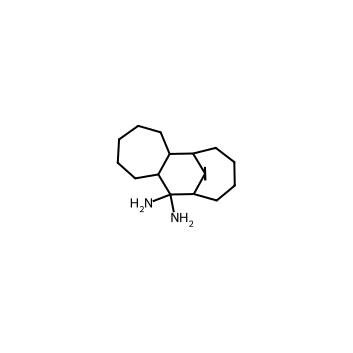 NC1(N)C2CCCCCC2C2CCCCC1C21CC1